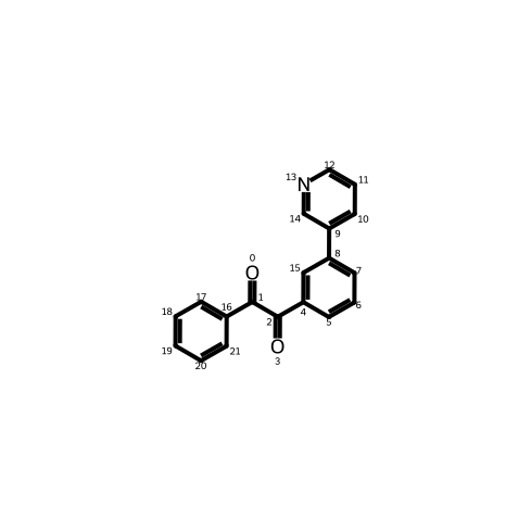 O=C(C(=O)c1cccc(-c2cccnc2)c1)c1ccccc1